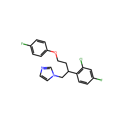 Fc1ccc(OCCC(Cn2ccnc2)c2ccc(F)cc2Cl)cc1